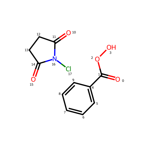 O=C(OO)c1ccccc1.O=C1CCC(=O)N1Cl